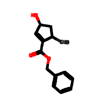 O=CC1C[C@H](O)C=C1C(=O)OCc1ccccc1